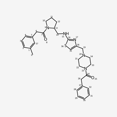 Cc1cccc(CC(=O)N2CCCC2CNc2nc(CN3CCN(C(=O)Cc4ccccc4)CC3)cs2)c1